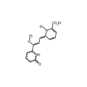 CCOC(=O)C1=CC=C/C(=C\C=C(/OCC)c2cccc(=O)[nH]2)N1CC